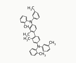 Cc1cccc(N(c2ccc(-c3ccc(N(c4cccc(C)c4)c4ccccc4C)cc3C)c(C)c2)c2ccccc2C)c1